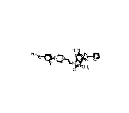 COc1ccc(N2CCN(CCn3c(=O)n(C)c4c3nc(N)n3nc(-c5ccco5)nc43)CC2)c(F)c1